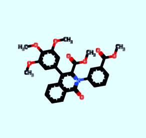 COC(=O)c1cccc(-n2c(C(=O)OC)c(-c3cc(OC)c(OC)c(OC)c3)c3ccccc3c2=O)c1